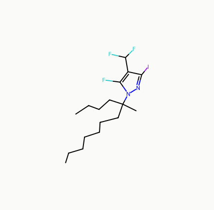 CCCCCCCC(C)(CCCC)n1nc(I)c(C(F)F)c1F